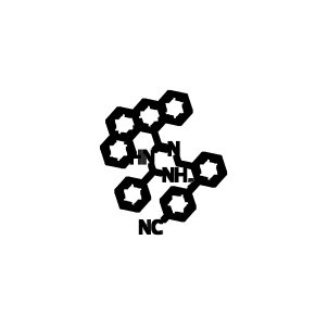 N#Cc1ccc(-c2ccccc2C/N=C(\NC(N)c2ccccc2)c2c3ccccc3cc3ccc4ccccc4c23)cc1